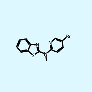 CN(c1ccc(Br)cn1)c1nc2ccccc2s1